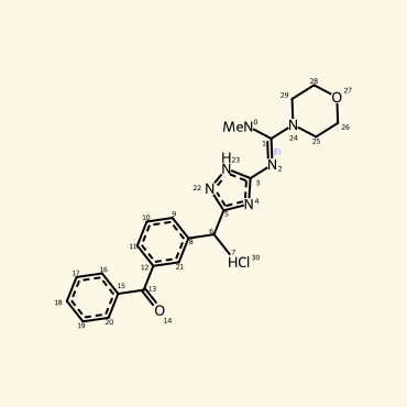 CN/C(=N\c1nc(C(C)c2cccc(C(=O)c3ccccc3)c2)n[nH]1)N1CCOCC1.Cl